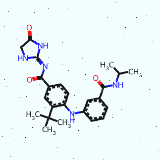 CC(C)NC(=O)c1cccc(Nc2ccc(C(=O)/N=C3\NCC(=O)N3)cc2C(C)(C)C)c1